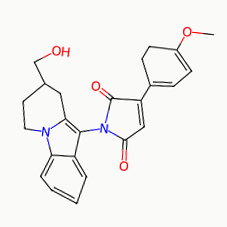 COC1=CC=C(C2=CC(=O)N(c3c4n(c5ccccc35)CCC(CO)C4)C2=O)CC1